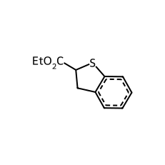 CCOC(=O)C1Cc2ccccc2S1